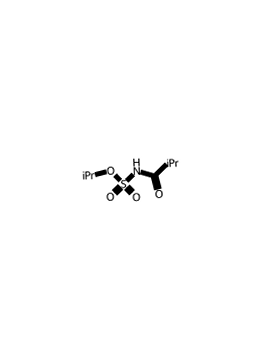 CC(C)OS(=O)(=O)NC(=O)C(C)C